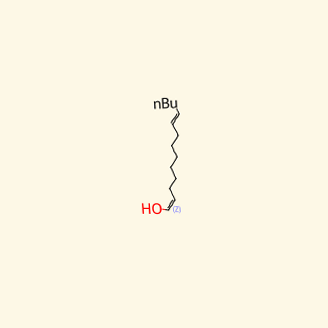 CCCCC=CCCCCCC/C=C\O